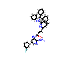 Cc1cc(C=CC(=O)Nc2cc(-c3cccc(F)c3)cnc2N)nc(NC(c2ccccc2)(c2ccccc2)c2ccccc2)c1